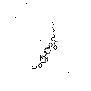 CCCCCCOC(C)C(=O)Oc1ccc(-c2ncc(OCCC)cn2)cc1